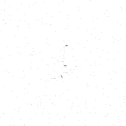 C[Si](C)(C)CCOC(=O)C(CCCCN)NC(=O)C(N)CCCNC(N)=O